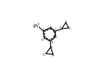 CC(C)c1cc(C2CC2)cc(C2CC2)c1